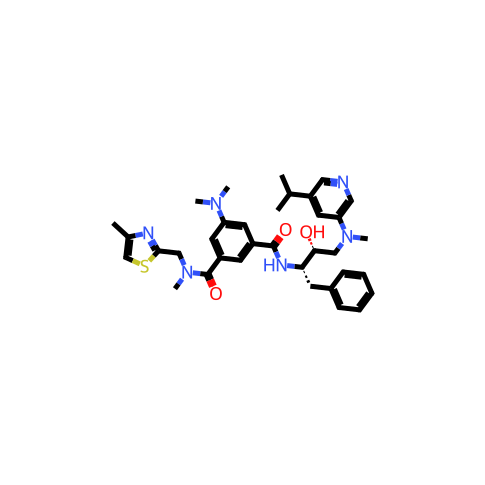 Cc1csc(CN(C)C(=O)c2cc(C(=O)N[C@@H](Cc3ccccc3)[C@H](O)CN(C)c3cncc(C(C)C)c3)cc(N(C)C)c2)n1